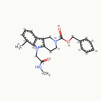 CNC(=O)Cn1c2c(c3cccc(C)c31)CN(C(=O)OCc1ccccc1)CC2